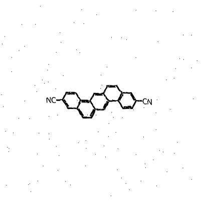 N#Cc1ccc2c(ccc3cc4c(ccc5cc(C#N)ccc54)cc32)c1